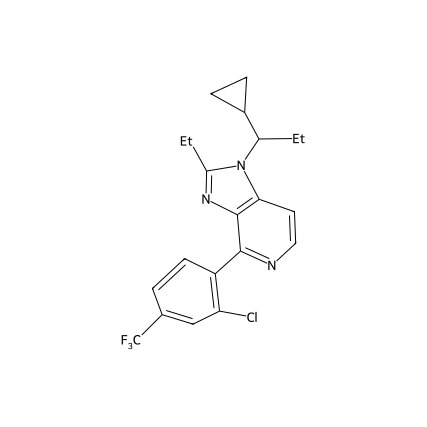 CCc1nc2c(-c3ccc(C(F)(F)F)cc3Cl)nccc2n1C(CC)C1CC1